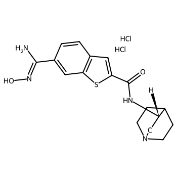 Cl.Cl.NC(=NO)c1ccc2cc(C(=O)N[C@H]3CN4CCC3CC4)sc2c1